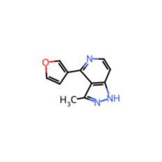 Cc1n[nH]c2ccnc(-c3ccoc3)c12